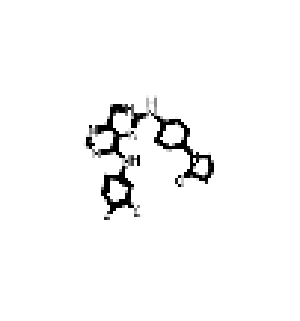 O=C1CCCN1C1CCC(Nc2ncc3ncnc(Nc4ccc(F)c(Cl)c4)c3n2)CC1